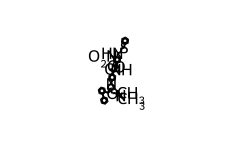 CN(C)CCOC1(Cc2ccccc2-c2ccccc2)CCN(c2ccc(C(=O)NS(=O)(=O)c3ccc(NCCSc4ccccc4)c([N+](=O)[O-])c3)cc2)CC1